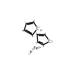 [Fe+2].[Ir].c1cc[cH-]c1.c1cc[cH-]c1